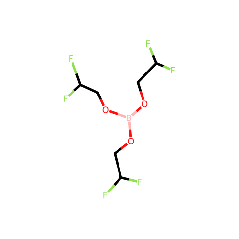 FC(F)COB(OCC(F)F)OCC(F)F